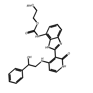 COCCOC(=O)Nc1cccc2nc(-c3c(NCC(O)c4ccccc4)cc[nH]c3=O)[nH]c12